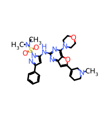 CN1CCC=C(c2cc3nc(Nc4cc(-c5ccccc5)nn4S(=O)(=O)N(C)C)nc(N4CCOCC4)c3o2)C1